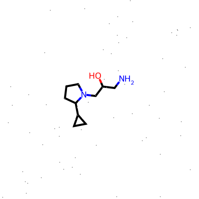 NCC(O)CN1CCCC1C1CC1